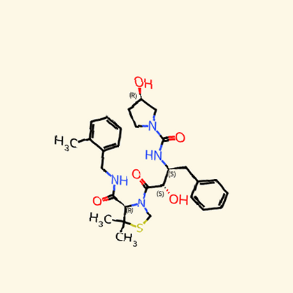 Cc1ccccc1CNC(=O)[C@H]1N(C(=O)[C@@H](O)[C@H](Cc2ccccc2)NC(=O)N2CC[C@@H](O)C2)CSC1(C)C